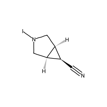 N#C[C@H]1[C@H]2CN(I)C[C@@H]12